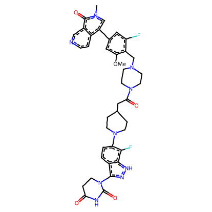 COc1cc(-c2cn(C)c(=O)c3cnccc23)cc(F)c1CN1CCN(C(=O)CC2CCN(c3ccc4c(N5CCC(=O)NC5=O)n[nH]c4c3F)CC2)CC1